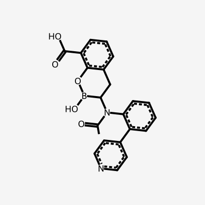 CC(=O)N(c1ccccc1-c1ccncc1)C1Cc2cccc(C(=O)O)c2OB1O